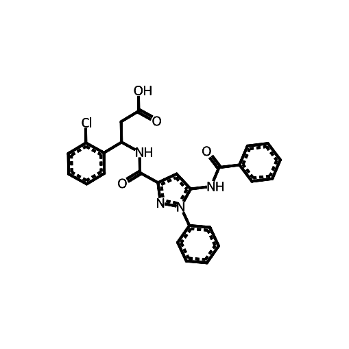 O=C(O)CC(NC(=O)c1cc(NC(=O)c2ccccc2)n(-c2ccccc2)n1)c1ccccc1Cl